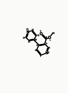 COC(=O)c1cnccc1-c1ccncc1